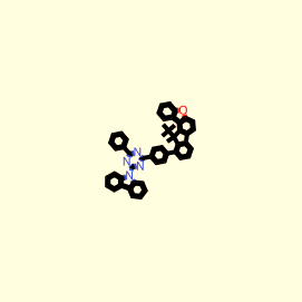 CC(C)(C)C1(C)c2c(-c3ccc(-c4nc(-c5ccccc5)nc(-n5c6ccccc6c6ccccc65)n4)cc3)cccc2-c2ccc3oc4ccccc4c3c21